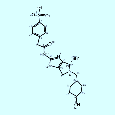 CCS(=O)(=O)c1ccc(CC(=O)Nc2nc3c(s2)CN(C[C@H]2CC[C@H](C#N)CC2)[C@H]3C(C)C)cc1